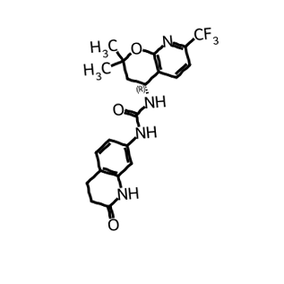 CC1(C)C[C@@H](NC(=O)Nc2ccc3c(c2)NC(=O)CC3)c2ccc(C(F)(F)F)nc2O1